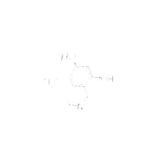 CC(C)/N=C\c1ccc(O)cc1O.O